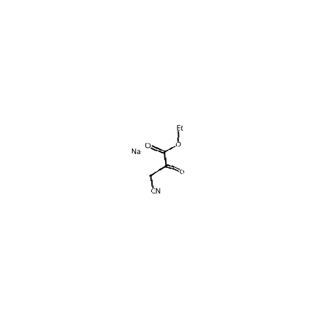 CCOC(=O)C(=O)CC#N.[Na]